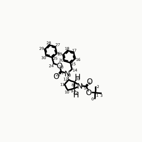 CC(C)(C)OC(=O)N1[C@@H]2[C@H]1CC[C@@H]2N(Cc1ccccc1)C(=O)OCc1ccccc1